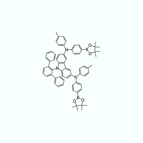 Cc1ccc(N(c2ccc(B3OC(C)(C)C(C)(C)O3)cc2)c2ccc3c(c2)c2cc(N(c4ccc(C)cc4)c4ccc(B5OC(C)(C)C(C)(C)O5)cc4)ccc2n3-c2c(-c3ccccc3)cccc2-c2ccccc2)cc1